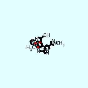 C#Cc1ccc(C(C(C)C)N2C3CC2CN(c2ccc(-c4cc(-c5cnn(C)c5)cn5ncc(C#N)c45)cn2)C3)nc1